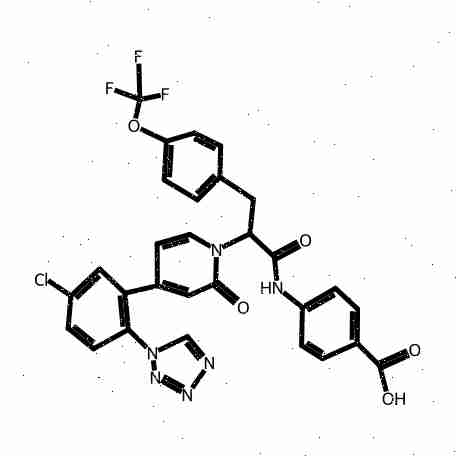 O=C(O)c1ccc(NC(=O)C(Cc2ccc(OC(F)(F)F)cc2)n2ccc(-c3cc(Cl)ccc3-n3cnnn3)cc2=O)cc1